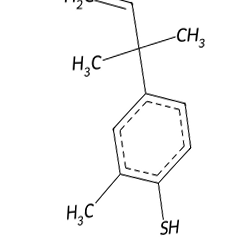 C=CC(C)(C)c1ccc(S)c(C)c1